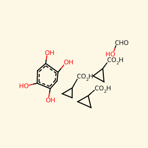 O=C(O)C1CC1.O=C(O)C1CC1.O=C(O)C1CC1.O=CO.Oc1cc(O)c(O)cc1O